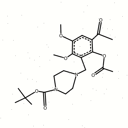 COc1cc(C(C)=O)c(OC(C)=O)c(CN2CCN(C(=O)OC(C)(C)C)CC2)c1OC